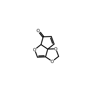 O=C1C=CC23OCOC2=COC13